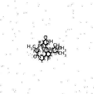 Cc1nc(C(=O)N2CCC=C(c3c(F)cc(N4CC(C)N(C)C(C)C4)c(NC(=O)c4c[nH]c(=O)cc4C(F)(F)F)c3F)C2)cs1